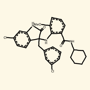 COc1cccc(C(=O)NC2CCCCC2)c1NC1(Cc2cccc(Cl)c2)C(=O)Nc2cc(Cl)ccc21